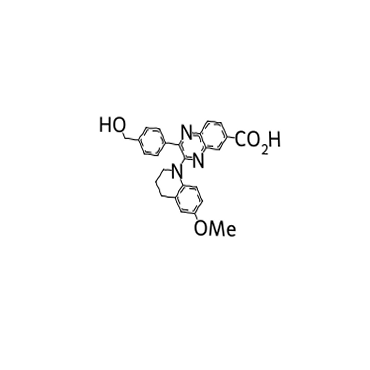 COc1ccc2c(c1)CCCN2c1nc2cc(C(=O)O)ccc2nc1-c1ccc(CO)cc1